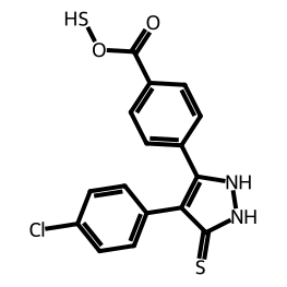 O=C(OS)c1ccc(-c2[nH][nH]c(=S)c2-c2ccc(Cl)cc2)cc1